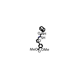 COC(=O)c1cc(-c2ccc(/C=C(\S)C(=O)NC3C4CC5CC(C4)CC3C5)o2)ccc1OC